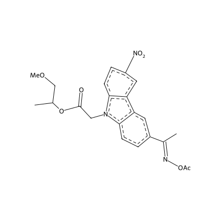 COCC(C)OC(=O)Cn1c2ccc(/C(C)=N/OC(C)=O)cc2c2cc([N+](=O)[O-])ccc21